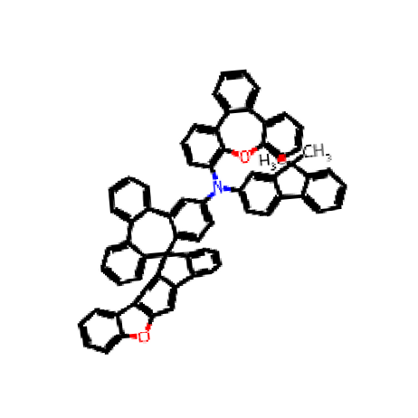 CC1(C)c2ccccc2-c2ccc(N(c3ccc4c(c3)-c3ccccc3-c3ccccc3C43c4ccccc4-c4cc5oc6ccccc6c5cc43)c3cccc4c3Oc3ccccc3-c3ccccc3-4)cc21